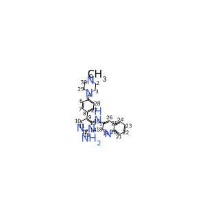 CN1CCN(c2ccc(-c3cnc(N)nc3Nc3cnc4ccccc4c3)cc2)CC1